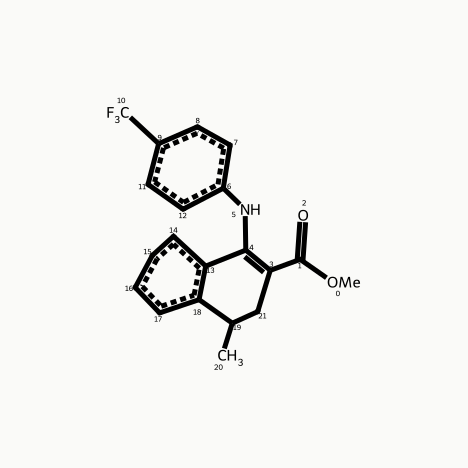 COC(=O)C1=C(Nc2ccc(C(F)(F)F)cc2)c2ccccc2C(C)C1